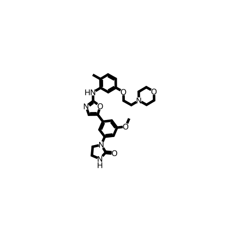 COc1cc(-c2cnc(Nc3cc(OCCN4CCOCC4)ccc3C)o2)cc(N2CCNC2=O)c1